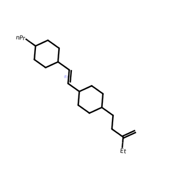 C=C(CC)CCC1CCC(/C=C/C2CCC(CCC)CC2)CC1